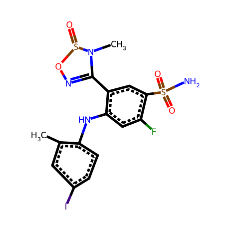 Cc1cc(I)ccc1Nc1cc(F)c(S(N)(=O)=O)cc1C1=NOS(=O)N1C